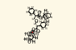 CN1[C@@H]2CC[C@H]1C[C@@H](OC(=O)C(COC[C@@H](C(=O)O[C@@H]1C[C@@H]3[C@H]4O[C@H]4[C@H](C1)N3C)c1ccccc1)c1ccccc1)C2